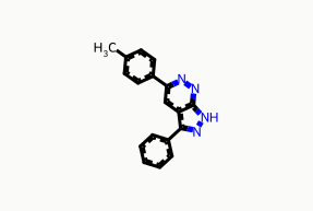 Cc1ccc(-c2cc3c(-c4ccccc4)n[nH]c3nn2)cc1